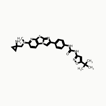 CN(CC1(N)CC1)c1ccc2c(n1)sc1nc(-c3ccc(NC(=O)Nc4cc(C(C)(C)C)on4)cc3)cn12